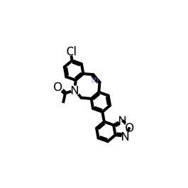 CC(=O)N1Cc2cc(-c3cccc4nonc34)ccc2/C=C\c2cc(Cl)ccc21